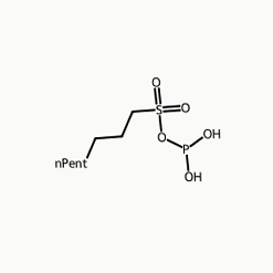 CCCCCCCCS(=O)(=O)OP(O)O